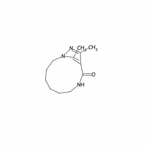 Cc1nn2c(C)c1C(=O)NCCCCCC2